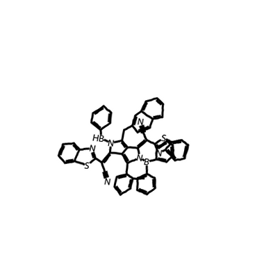 Cc1ccccc1-c1c2/c(=C(\C#N)c3nc4ccccc4s3)n(Bc3ccccc3)c(Cc3ccc4ccccc4c3)c2/c(=C(\C#N)c2nc3ccccc3s2)n1B(c1ccccc1)c1ccccc1